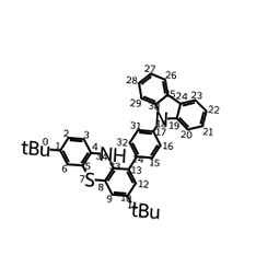 CC(C)(C)c1ccc2c(c1)Sc1cc(C(C)(C)C)cc(-c3ccc(-n4c5ccccc5c5ccccc54)cc3)c1N2